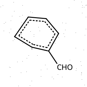 O=Cc1[c]cccc1